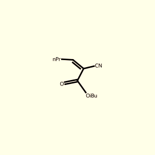 CCCC=C(C#N)C(=O)OCC(C)C